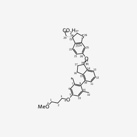 COCCCOc1cc(C)c(-c2cccc3c2CC[C@H]3Oc2ccc3c(c2)SC[C@H]3CC(=O)O)c(C)c1